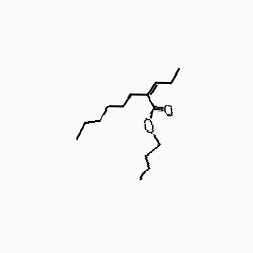 CCC=C(CCCCCC)C(=O)OCCCC